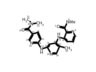 CNC(=O)c1ncccc1Nc1cc(Nc2ccc(C(=O)N(C)C)cn2)ncc1C